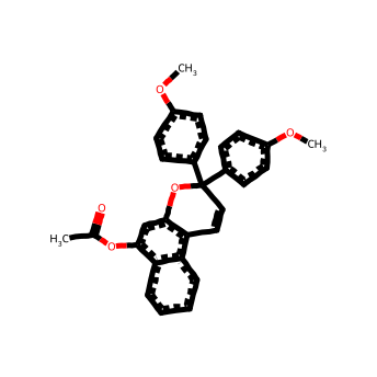 COc1ccc(C2(c3ccc(OC)cc3)C=Cc3c(cc(OC(C)=O)c4ccccc34)O2)cc1